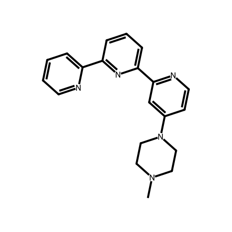 CN1CCN(c2ccnc(-c3cccc(-c4ccccn4)n3)c2)CC1